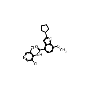 COc1ccc(C(=O)Nc2c(Cl)cncc2Cl)c2cc(C3CCCC3)oc12